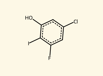 Oc1cc(Cl)cc(F)c1I